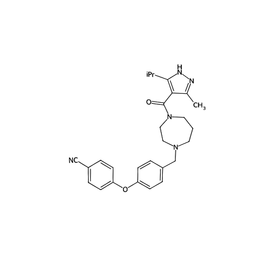 Cc1n[nH]c(C(C)C)c1C(=O)N1CCCN(Cc2ccc(Oc3ccc(C#N)cc3)cc2)CC1